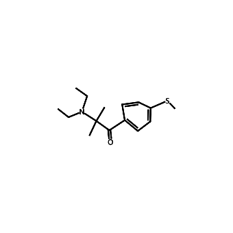 CCN(CC)C(C)(C)C(=O)c1ccc(SC)cc1